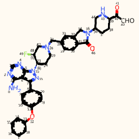 Nc1ncnc2c1c(-c1ccc(Oc3ccccc3)cc1)nn2[C@@H]1CCN(Cc2ccc3c(c2)CN(C2CCC(C(=O)C=O)NC2)C3=O)C[C@@H]1F